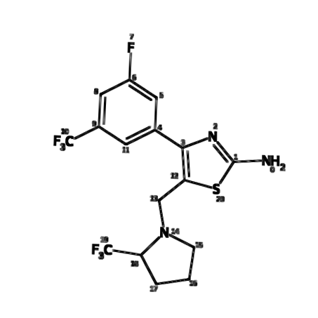 Nc1nc(-c2cc(F)cc(C(F)(F)F)c2)c(CN2CCCC2C(F)(F)F)s1